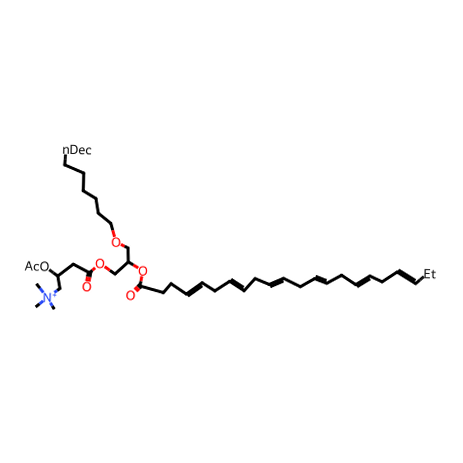 CCC=CCC=CCC=CCC=CCC=CCC=CCCC(=O)OC(COCCCCCCCCCCCCCCCC)COC(=O)CC(C[N+](C)(C)C)OC(C)=O